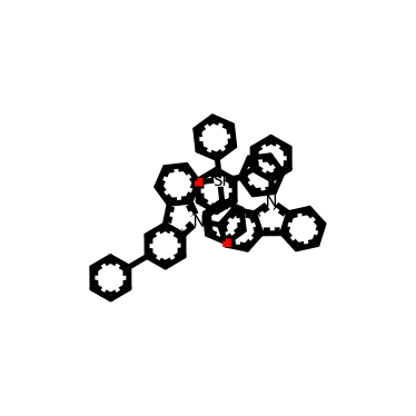 c1ccc(-c2ccc3c(c2)c2cccc([Si](c4ccccc4)(c4ccccc4)c4ccccc4)c2n3-c2ccc3c4ccccc4n(-c4ccccc4-c4ccccc4)c3c2)cc1